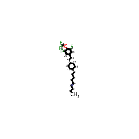 CCC/C=C/CCCC[C@H]1CC[C@H](CCc2cc(F)c(OC(F)F)c(F)c2)CC1